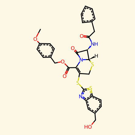 COc1ccc(COC(=O)C2=C(Sc3nc4cc(CO)ccc4s3)CS[C@H]3[C@H](NC(=O)Cc4ccccc4)C(=O)N23)cc1